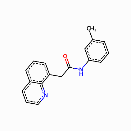 Cc1cccc(NC(=O)Cc2cccc3cccnc23)c1